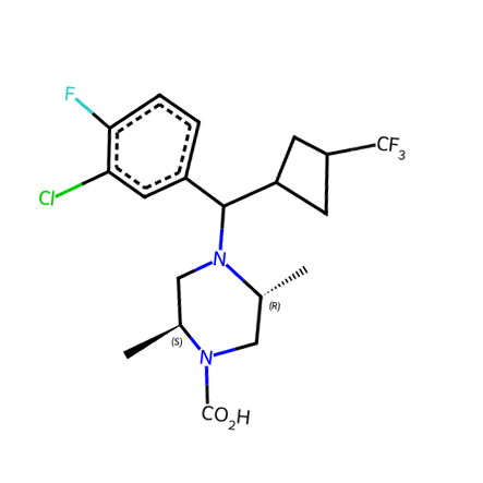 C[C@@H]1CN(C(=O)O)[C@@H](C)CN1C(c1ccc(F)c(Cl)c1)C1CC(C(F)(F)F)C1